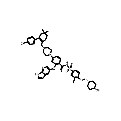 Cc1cc(S(=O)(=O)NC(=O)c2ccc(N3CCN(CC4=C(c5ccc(Cl)cc5)CC(C)(C)CC4)CC3)cc2Oc2cnc3[nH]ccc3c2)ccc1OC[C@H]1CC[C@H](O)CC1